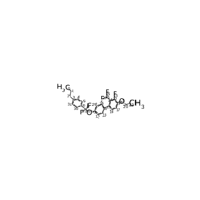 CCCc1ccc(C(F)(F)Oc2ccc(-c3ccc(OCC)c(F)c3C(F)F)cc2)cc1